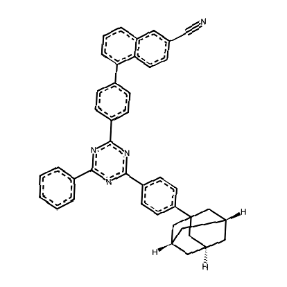 N#Cc1ccc2c(-c3ccc(-c4nc(-c5ccccc5)nc(-c5ccc(C67C[C@H]8C[C@@H](C6)C[C@@H](C7)C8)cc5)n4)cc3)cccc2c1